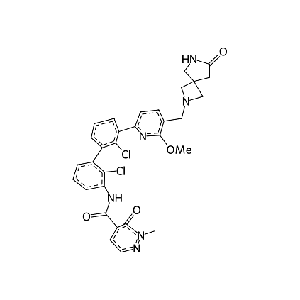 COc1nc(-c2cccc(-c3cccc(NC(=O)c4ccnn(C)c4=O)c3Cl)c2Cl)ccc1CN1CC2(CNC(=O)C2)C1